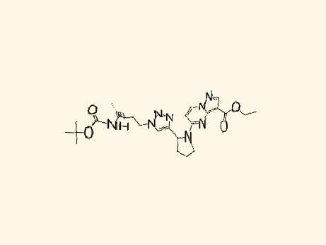 CCOC(=O)c1cnn2ccc(N3CCCC3c3cn(CC[C@@H](C)NC(=O)OC(C)(C)C)nn3)nc12